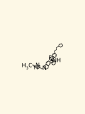 CCCn1cc(CN2CCc3cc(S(=O)(=O)Nc4ccc(CCCC5CCCC5)cc4F)ccc3C2)cn1